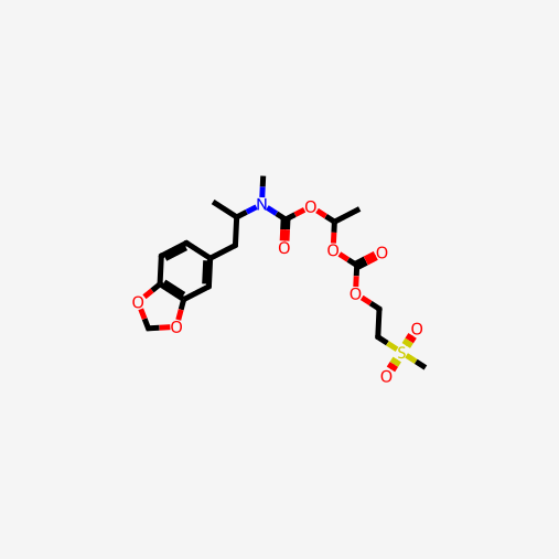 CC(OC(=O)OCCS(C)(=O)=O)OC(=O)N(C)C(C)Cc1ccc2c(c1)OCO2